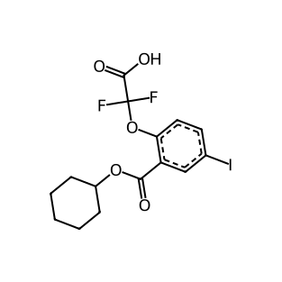 O=C(OC1CCCCC1)c1cc(I)ccc1OC(F)(F)C(=O)O